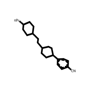 CCCC1CCC(CCC2CCC(c3ccc(C#N)cc3)CC2)CC1